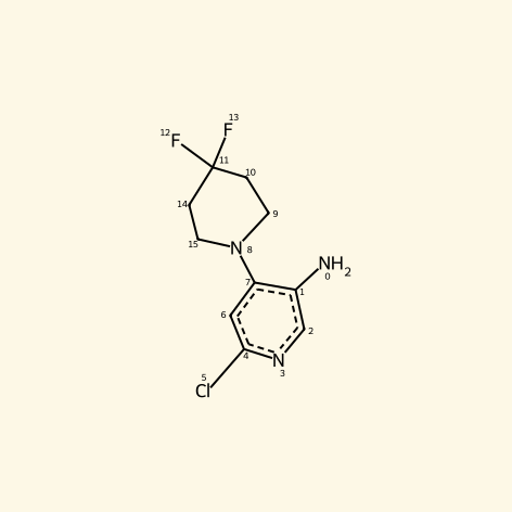 Nc1cnc(Cl)cc1N1CCC(F)(F)CC1